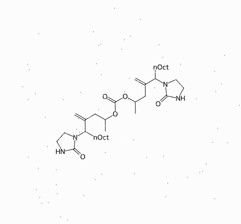 C=C(CC(C)OC(=O)OC(C)CC(=C)C(CCCCCCCC)N1CCNC1=O)C(CCCCCCCC)N1CCNC1=O